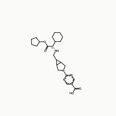 O=C(O)c1cnc(N2CC3C(CN[C@H](C(=O)OC4CCCC4)C4CCCCC4)C3C2)nc1